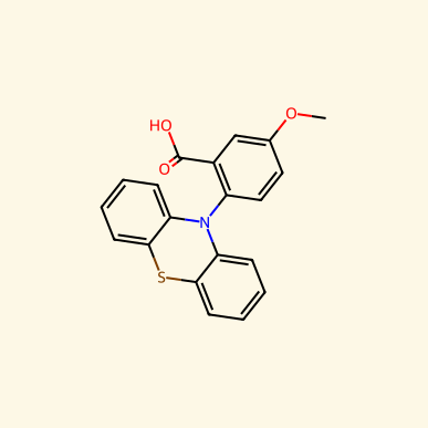 COc1ccc(N2c3ccccc3Sc3ccccc32)c(C(=O)O)c1